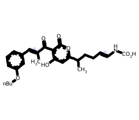 CCCCOc1cccc(/C=C(\C)C(=O)c2c(O)cc(C(C)CC/C=C/NC(=O)O)oc2=O)c1